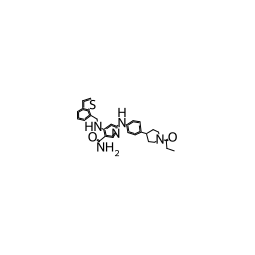 CCC(=O)N1CCC(c2ccc(Nc3cc(NCc4cccc5ccsc45)c(C(N)=O)cn3)cc2)CC1